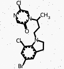 CC(CCN1CCc2cc(Br)cc(Cl)c21)n1cc(Cl)ncc1=O